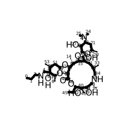 CCCNC[C@]1(O)[C@H](C)O[C@@H](O[C@H]2[C@H](C)[C@@H](OC3O[C@H](C)CC(N(C)C)[C@H]3O)C(C)(O)C[C@@H](C)CN[C@H](C)[C@@H](O)[C@](C)(O)C(CC)OC(=O)[C@@H]2C)C[C@@H]1C